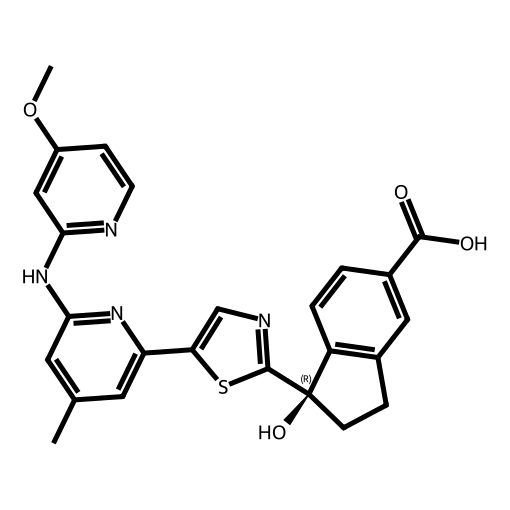 COc1ccnc(Nc2cc(C)cc(-c3cnc([C@@]4(O)CCc5cc(C(=O)O)ccc54)s3)n2)c1